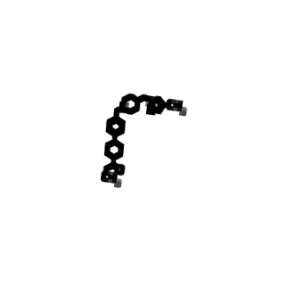 CCC(=O)[C@H]1CC[C@@H](c2ccc(CN3CCC(Cn4cc(C)cn4)CC3)cc2)CC1